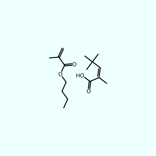 C=C(C)C(=O)OCCCC.CC(=CC(C)(C)C)C(=O)O